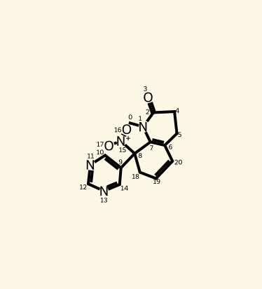 CN1C(=O)CCC2=C1C(c1cncnc1)([N+](=O)[O-])CC=C2